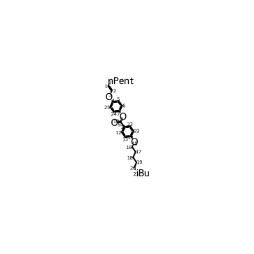 CCCCC/C=C/Oc1ccc(OC(=O)c2ccc(OCCCCC[C@@H](C)CC)cc2)cc1